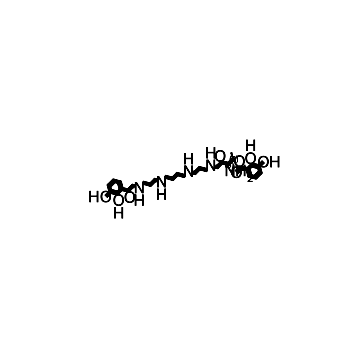 C[C@@H](OC(=O)c1cccc(O)c1O)[C@H](N)C(=O)CNCCCNCCCCNCCCNCC(=O)c1cccc(O)c1O